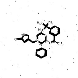 C[C@@H](O[C@H]1OCCN(CC2=CC(=O)NC2)[C@H]1c1ccccc1)c1cccc(C(C)(C)C)c1